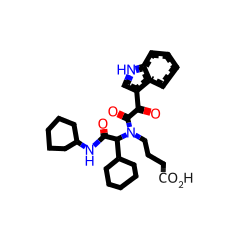 O=C(O)CCCN(C(=O)C(=O)c1c[nH]c2ccccc12)C(C(=O)NC1CCCCC1)C1CCCCC1